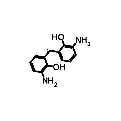 Nc1cccc([C]c2cccc(N)c2O)c1O